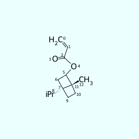 C=CC(=O)OC1C[C@]2(C(C)C)CC[C@@]12C